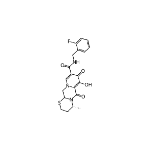 C[C@@H]1CCSC2Cn3cc(C(=O)NCc4ccccc4F)c(=O)c(O)c3C(=O)N21